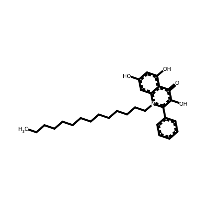 CCCCCCCCCCCCCCn1c(-c2ccccc2)c(O)c(=O)c2c(O)cc(O)cc21